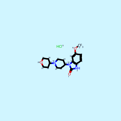 Cl.O=c1[nH]c2ccc(OC(F)(F)F)cc2n1C1CCN(C2CCOCC2)CC1